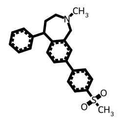 CN1CCC(c2ccccc2)c2ccc(-c3ccc(S(C)(=O)=O)cc3)cc2C1